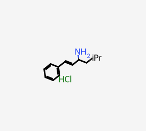 CC(C)C[C@H](N)/C=C/c1ccccc1.Cl